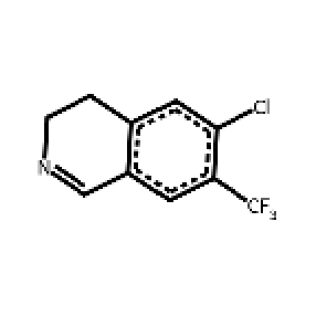 FC(F)(F)c1cc2c(cc1Cl)CCN=C2